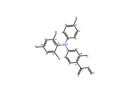 C=CC(=C)c1ccc(N(c2ccc(C)cc2)c2c(C)cc(C)cc2C)cc1C